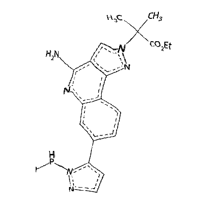 CCOC(=O)C(C)(C)n1cc2c(N)nc3cc(-c4ccnn4PI)ccc3c2n1